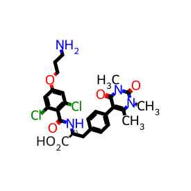 Cc1c(-c2ccc(C[C@H](NC(=O)c3c(Cl)cc(OCCCN)cc3Cl)C(=O)O)cc2)c(=O)n(C)c(=O)n1C